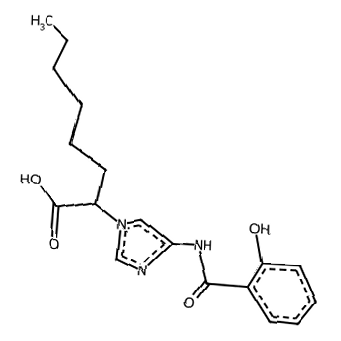 CCCCCCC(C(=O)O)n1cnc(NC(=O)c2ccccc2O)c1